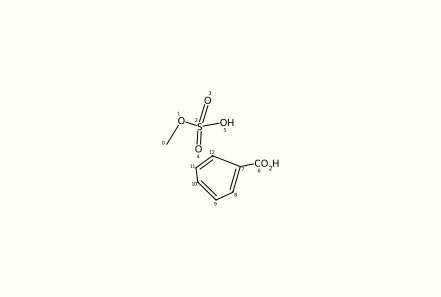 COS(=O)(=O)O.O=C(O)c1ccccc1